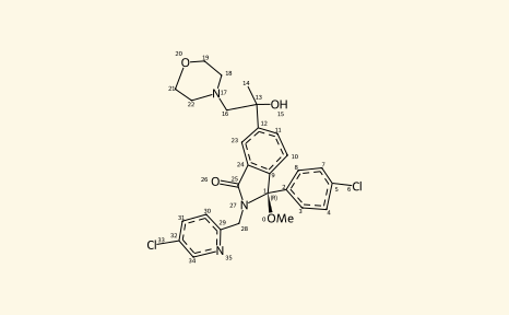 CO[C@]1(c2ccc(Cl)cc2)c2ccc(C(C)(O)CN3CCOCC3)cc2C(=O)N1Cc1ccc(Cl)cn1